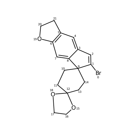 BrC1=Cc2cc3c(cc2C12CCC1(CC2)OCCO1)OCC3